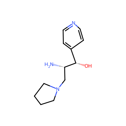 N[C@@H](CN1CCCC1)[C@@H](O)c1ccncc1